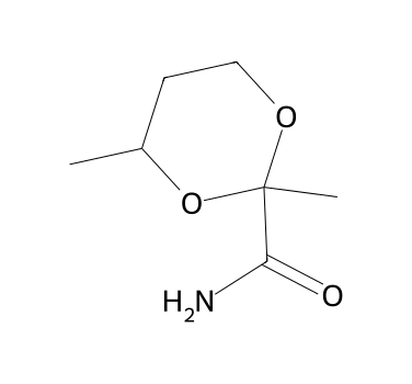 CC1CCOC(C)(C(N)=O)O1